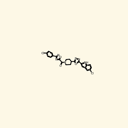 O=C(c1nc(-c2ccc(Cl)cc2)no1)N1CCC(c2nnc(-c3cc4cc(Cl)ccc4[nH]3)o2)CC1